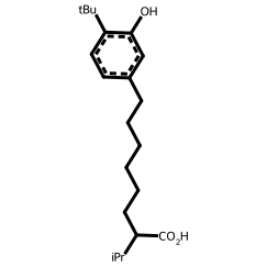 CC(C)C(CCCCCCc1ccc(C(C)(C)C)c(O)c1)C(=O)O